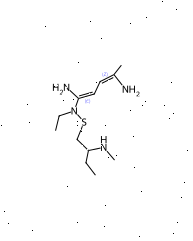 CCC(CSN(CC)/C(N)=C/C=C(/C)N)NC